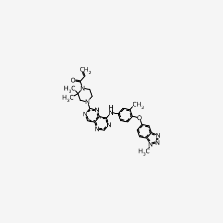 C=CC(=O)N1CCN(c2ncc3ncnc(Nc4ccc(Oc5ccc6c(c5)nnn6C)c(C)c4)c3n2)CC1(C)C